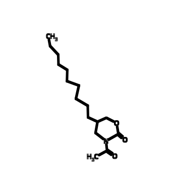 CCCCCCCCCCC1COC(=O)N(C(C)=O)C1